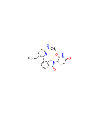 CCc1ccc(NC)nc1-c1cccc2c1CN(C1CCC(=O)NC1=O)C2=O